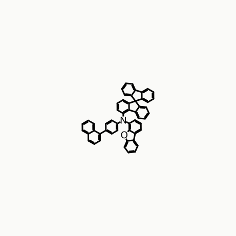 c1ccc2c(c1)-c1ccccc1C21c2ccccc2-c2c(N(c3ccc(-c4cccc5ccccc45)cc3)c3cccc4c3oc3ccccc34)cccc21